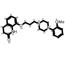 COc1ccccc1N1CCN(CCCOc2cccc3c2NC(=O)CC3)CC1